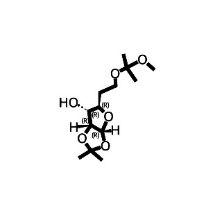 COC(C)(C)OCC[C@H]1O[C@@H]2OC(C)(C)O[C@@H]2[C@@H]1O